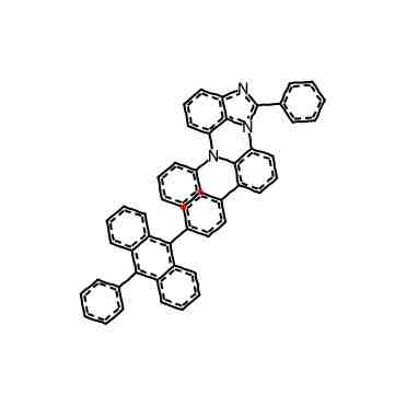 c1ccc(-c2c3ccccc3c(-c3ccc(-c4cccc5c4N(c4ccccc4)c4cccc6nc(-c7ccccc7)n-5c46)cc3)c3ccccc23)cc1